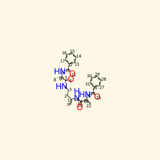 C=C(CCNC(=O)[C@H](C)NC(=O)c1ccccc1)NC(=O)[C@H](C)NC(=O)c1ccccc1